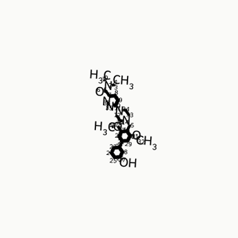 CCN(CC)C(=O)c1ccc(N2CCN(Cc3c(OC)cc(-c4cccc(O)c4)cc3OC)CC2)nn1